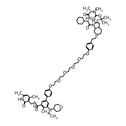 CCN(c1cc(-c2ccc(OCCOCCOCCOCCOCCOc3ccc(CCN4CCC5CCN(C(=O)[C@@H](NC(=O)[C@H](C)N(C)C(=O)OC(C)(C)C)C6CCCCC6)C5C4)cc3)cc2)cc(C(=O)NCc2c(C)cc(C)[nH]c2=O)c1C)C1CCOCC1